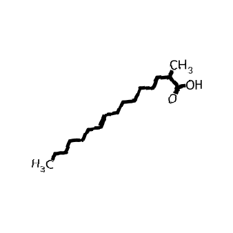 CCCCCCC=CCCCCCCC(C)C(=O)O